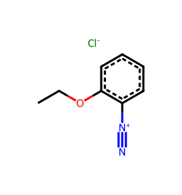 CCOc1ccccc1[N+]#N.[Cl-]